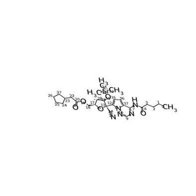 CCCCC(=O)Nc1ncnn2c([C@]3(C#N)O[C@@H](COC(=O)CC4CCCC4)[CH][C@H]3O[Si](C)(C)C)ccc12